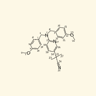 COc1ccc(CN(Cc2ccc(OC)cc2)c2ccc(C(C)(C)C#N)cn2)cc1